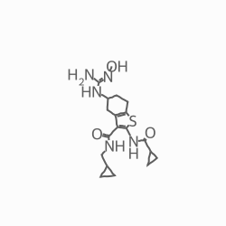 NC(=NO)NC1CCc2sc(NC(=O)C3CC3)c(C(=O)NCC3CC3)c2C1